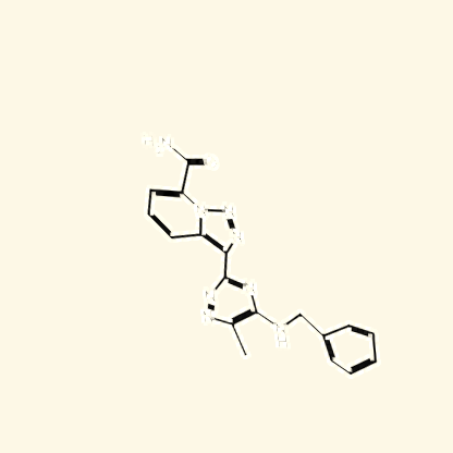 Cc1nnc(-c2nnn3c(C(N)=O)cccc23)nc1NCc1ccccc1